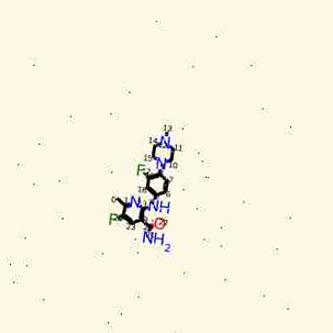 Cc1nc(Nc2ccc(N3CCN(C)CC3)c(F)c2)c(C(N)=O)cc1F